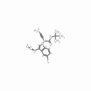 CC#CN(C(=O)OC(C)(C)C)n1cc(N=C=O)c2cc(F)ccc21